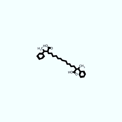 CC(c1ccccc1)C(CCCCCCCCCCCCC(C(=O)O)C(C)c1ccccc1)C(=O)O